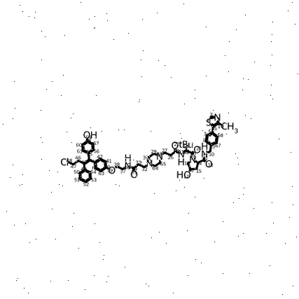 Cc1ncsc1-c1ccc(CNC(=O)C2CC(O)CN2C(=O)[C@@H](NC(=O)CCN2CCN(CCC(=O)NCCOc3ccc(C(=C(CCCl)c4ccccc4)c4ccc(O)cc4)cc3)CC2)C(C)(C)C)cc1